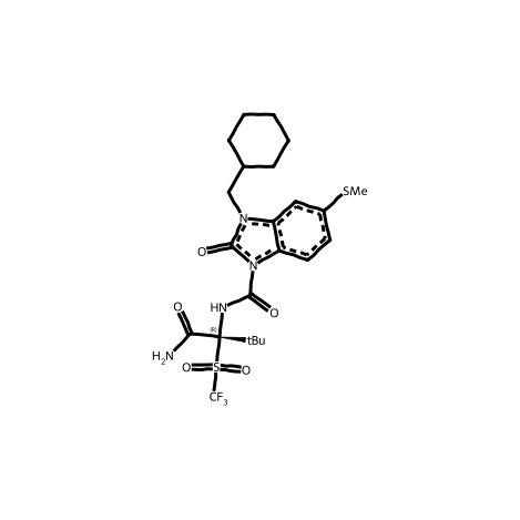 CSc1ccc2c(c1)n(CC1CCCCC1)c(=O)n2C(=O)N[C@](C(N)=O)(C(C)(C)C)S(=O)(=O)C(F)(F)F